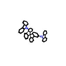 c1ccc2c(c1)-c1cc(-n3c4ccccc4c4ccccc43)ccc1C21c2ccccc2-c2c(-n3c4ccccc4c4ccccc43)cccc21